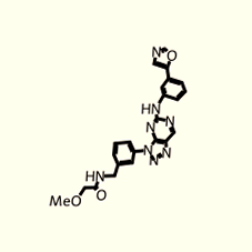 COCC(=O)NCc1cccc(-n2nnc3cnc(Nc4cccc(-c5cnco5)c4)nc32)c1